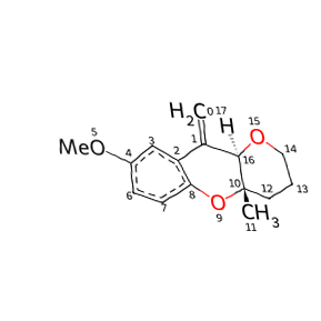 C=C1c2cc(OC)ccc2O[C@@]2(C)CCCO[C@H]12